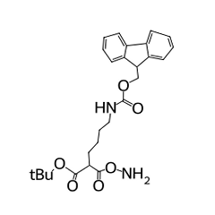 CC(C)(C)OC(=O)C(CCCCNC(=O)OCC1c2ccccc2-c2ccccc21)C(=O)ON